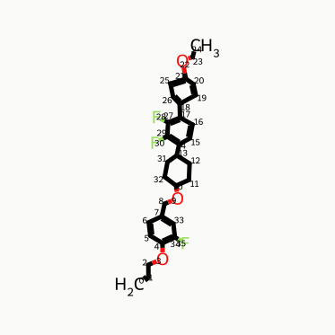 C=CCOc1ccc(COC2CCC(c3ccc(-c4ccc(OCC)cc4)c(F)c3F)CC2)cc1F